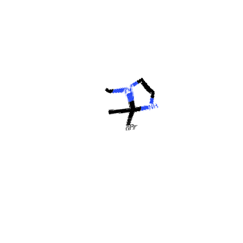 CCCC1(C)NC=CN1C